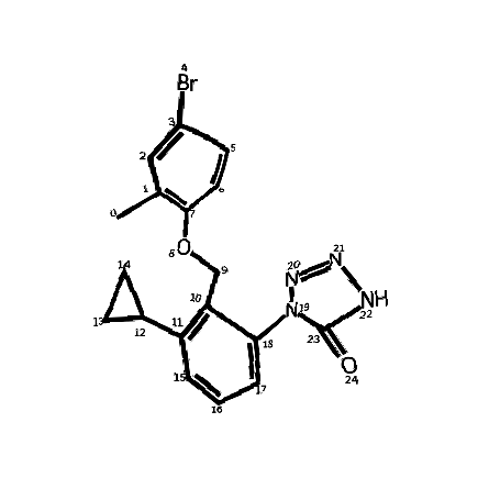 Cc1cc(Br)ccc1OCc1c(C2CC2)cccc1-n1nn[nH]c1=O